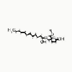 CCCCCCCCCCCC(O)OCC1(COI)CCC(O)O1